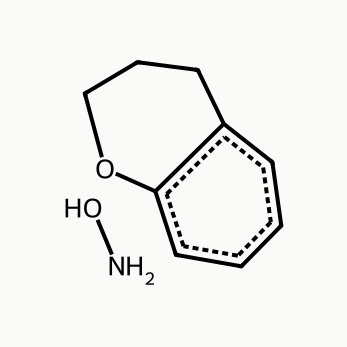 NO.c1ccc2c(c1)CCCO2